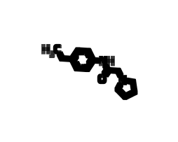 CCc1ccc(NC(=O)CN2CCCC2)cc1